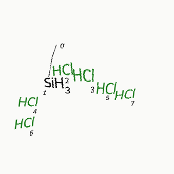 C[SiH3].Cl.Cl.Cl.Cl.Cl.Cl